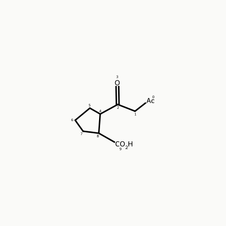 CC(=O)CC(=O)C1CCCC1C(=O)O